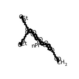 C=CC(=O)OCCCCCCOc1ccc2cc(C(=O)Oc3ccc(OC(=O)c4ccc5cc(OC(=O)c6ccc(OCCCCCCOCC7(CC)COC7)c(OCCCCCCOCC7(CC)COC7)c6)ccc5c4)c(CCC)c3)ccc2c1